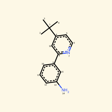 CC(C)(C)c1ccnc(-c2cccc(N)c2)c1